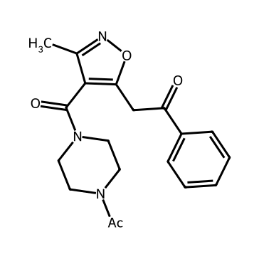 CC(=O)N1CCN(C(=O)c2c(C)noc2CC(=O)c2ccccc2)CC1